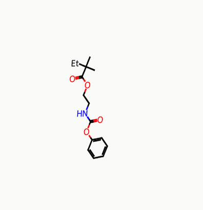 CCC(C)(C)C(=O)OCCNC(=O)Oc1ccccc1